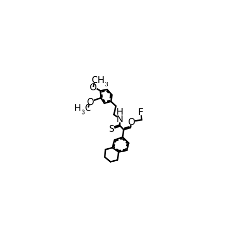 COc1ccc(CCNC(=S)C(=COCF)c2ccc3c(c2)CCCC3)cc1OC